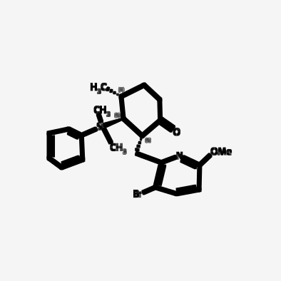 COc1ccc(Br)c(C[C@H]2C(=O)CC[C@@H](C)[C@@H]2[Si](C)(C)c2ccccc2)n1